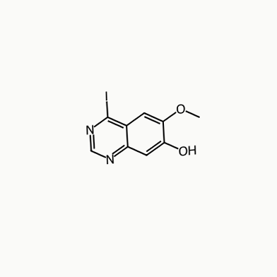 COc1cc2c(I)ncnc2cc1O